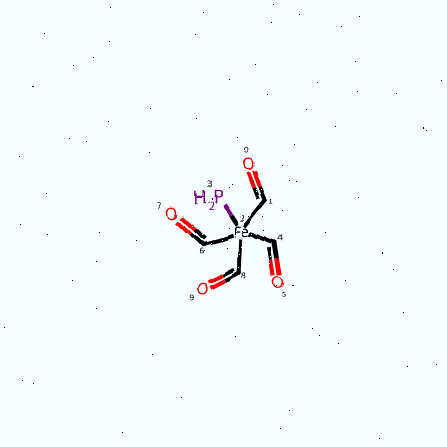 O=[CH][Fe]([PH2])([CH]=O)([CH]=O)[CH]=O